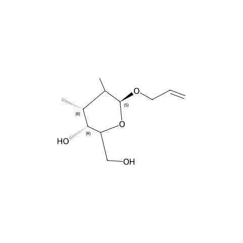 C=CCO[C@H]1OC(CO)[C@H](O)[C@H](C)C1C